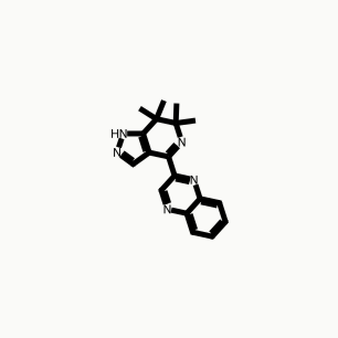 CC1(C)N=C(c2cnc3ccccc3n2)c2cn[nH]c2C1(C)C